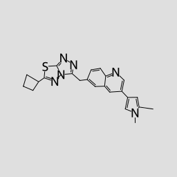 Cc1cc(-c2cnc3ccc(Cc4nnc5sc(C6CCC6)nn45)cc3c2)cn1C